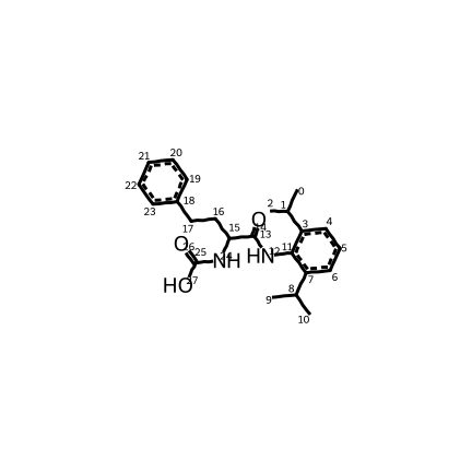 CC(C)c1cccc(C(C)C)c1NC(=O)C(CCc1ccccc1)NC(=O)O